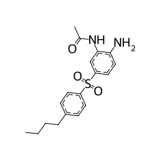 CCCCc1ccc(S(=O)(=O)c2ccc(N)c(NC(C)=O)c2)cc1